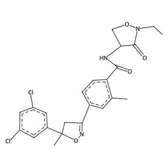 CCN1OCC(NC(=O)c2ccc(C3=NOC(C)(c4cc(Cl)cc(Cl)c4)C3)cc2C)C1=O